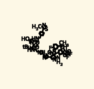 Cc1ncsc1-c1ccc(CNC(=O)[C@@H]2C[C@@H](O)CN2C(=O)[C@@H](NC(=O)CN2CCC(n3cc(-c4cnc(N)c5c(-c6ccc(NS(=O)(=O)C(F)F)c(O[C@@H](C)c7ccc(F)cc7)c6)nn(C)c45)cn3)C2)C(C)(C)C)cc1